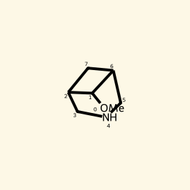 COC1C2CNCC1C2